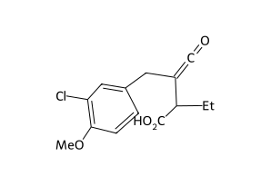 CCC(C(=O)O)C(=C=O)Cc1ccc(OC)c(Cl)c1